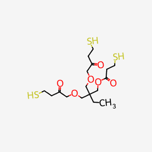 CCC(COCC(=O)CCS)(COCC(=O)CCS)COC(=O)CCS